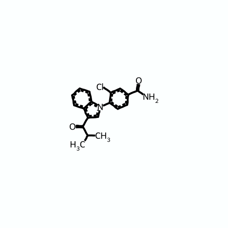 CC(C)C(=O)c1cn(-c2ccc(C(N)=O)cc2Cl)c2ccccc12